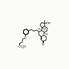 CCOC(=O)CCCOc1cccc(CCCC2CC3=CC(=O)CC[C@]3(C)[C@@H]3CC[C@@]4(C)[C@@H](CCC4(C)O)[C@H]23)c1